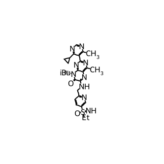 CC[C@@H](C)n1c(=O)c(NCc2ccc(S(=N)(=O)CC)cn2)nc2c(C)nc(-c3c(C)ncnc3C3CC3)nc21